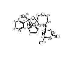 CC1(O[Si](c2ccccc2)(c2ccccc2)C(C)(C)C)COCCN(c2nc(Cl)nc(Cl)n2)C1